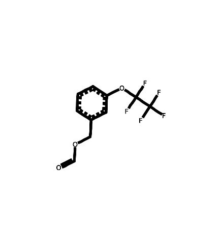 O=COCc1cccc(OC(F)(F)C(F)(F)F)c1